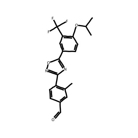 Cc1cc(C=O)ccc1-c1noc(-c2ccc(OC(C)C)c(C(F)(F)F)c2)n1